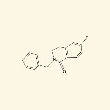 O=C1c2ccc(F)cc2CCN1Cc1ccccc1